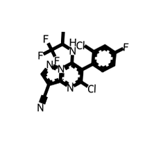 CC(Nc1c(-c2ccc(F)cc2Cl)c(Cl)nc2c(C#N)cnn12)C(F)(F)F